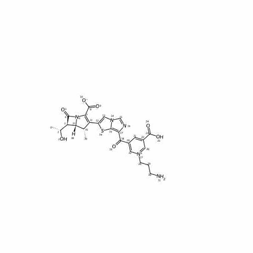 C[C@@H](O)[C@H]1C(=O)N2C(C(=O)[O-])=C(c3cn4cnc(C(=O)c5cc(C(=O)O)c[n+](CCCN)c5)c4s3)[C@H](C)[C@H]12